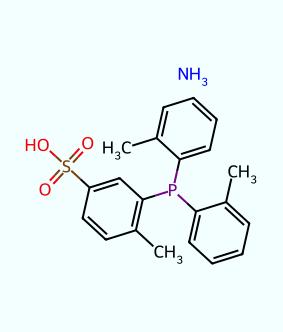 Cc1ccccc1P(c1ccccc1C)c1cc(S(=O)(=O)O)ccc1C.N